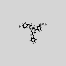 C=C(CN1CCNCC1)CN(CCCCc1ccccc1)C(=O)Nc1cccc(OC)c1